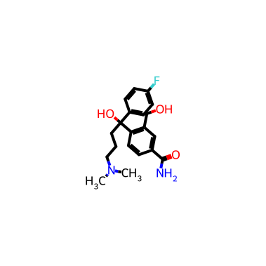 CN(C)CCCC(O)(c1ccc(F)cc1)c1ccc(C(N)=O)cc1CO